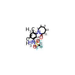 Cc1cc(C)c(N2CCCCCC2=O)cc1NS(=O)(=O)C(F)(F)F